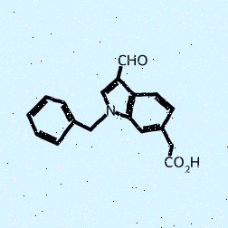 O=Cc1cn(Cc2ccccc2)c2cc(CC(=O)O)ccc12